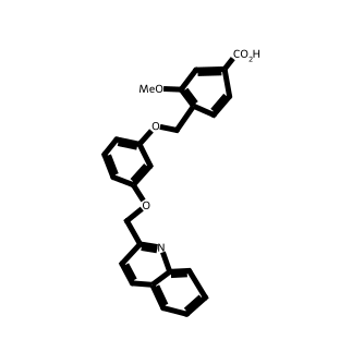 COc1cc(C(=O)O)ccc1COc1cccc(OCc2ccc3ccccc3n2)c1